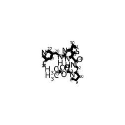 CC(C)(C)OC(=O)N1CCC[C@@H]1CNC(=O)c1nc(NCc2cncc(F)c2)nc2ccsc12